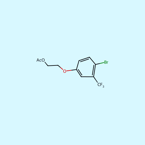 CC(=O)OCCOc1ccc(Br)c(C(F)(F)F)c1